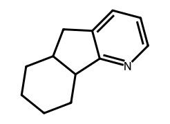 c1cnc2c(c1)CC1CCCCC21